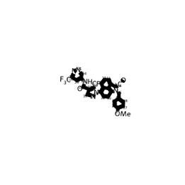 COc1ccc(Cn2c(=C=O)c3cccc4c(-n5ncc(C(=O)Nc6cnnc(C(F)(F)F)c6)c5C(F)(F)F)ccc2c43)cc1